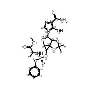 COC(=O)C(C)NP(=O)(Oc1ccccc1)OC1C2OC(n3cnc(C(N)=O)c3O)C3OC(C)(C)OC321